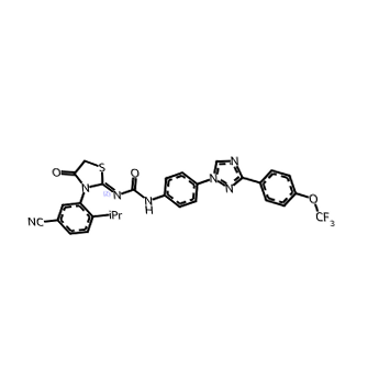 CC(C)c1ccc(C#N)cc1N1C(=O)CS/C1=N\C(=O)Nc1ccc(-n2cnc(-c3ccc(OC(F)(F)F)cc3)n2)cc1